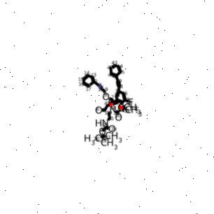 COCC(CC=O)(COC/C=C/c1ccccc1)N(CCNC(=O)OC(C)(C)C)C(=O)N(C)c1c(F)cc(C#Cc2ccccc2)cc1F